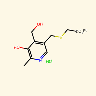 CCOC(=O)CSCc1cnc(C)c(O)c1CO.Cl